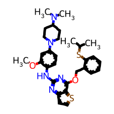 COc1cc(N2CCC(N(C)C)CC2)ccc1Nc1nc(OCc2ccccc2SC(C)C)c2sccc2n1